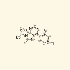 CCCCC(CC)n1c(C)nc2c(-c3ccc(Cl)cc3Cl)ncnc21